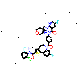 O=C(Nc1c(F)cccc1Cl)c1cc2c(s1)-c1ccc(F)cc1N(C(=O)c1ccc(NC(=O)c3cc(F)cnc3N3CC4(CCOCC4)C3)cc1)CC2